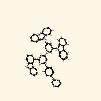 c1cncc(-c2ccc(-c3cc(-c4cc(-n5c6ccccc6c6ccccc65)cc(-n5c6ccccc6c6ccccc65)c4)nc(-c4cccc5sc6ccccc6c45)n3)cc2)c1